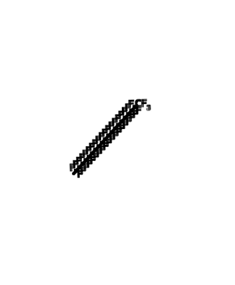 CC(F)(F)C(F)(F)C(F)(F)C(F)(F)C(F)(F)C(F)(F)C(F)(F)C(F)(F)C(F)(F)C(F)(F)C(F)(F)C(F)(F)C(F)(F)C(F)(F)C(F)(F)C(F)(F)C(F)(F)C(F)(F)C(F)(F)C(F)(F)F